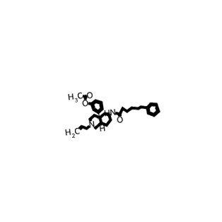 C=CCN1CC[C@@]2(c3cccc(OC(C)=O)c3)C[C@H](NC(=O)CCCCCc3ccccc3)CC[C@@H]2C1